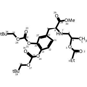 CCC(=O)OC(C)CN[C@@H](Cc1ccc(OC(=O)OCC(C)(C)C)c(OC(=O)OCC(C)(C)C)c1)C(=O)OC